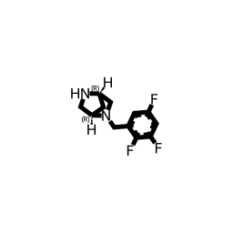 Fc1cc(F)c(F)c(CN2C[C@H]3C[C@@H]2CN3)c1